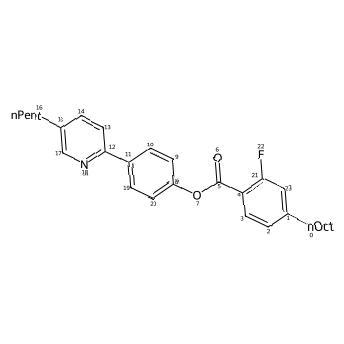 CCCCCCCCc1ccc(C(=O)Oc2ccc(-c3ccc(CCCCC)cn3)cc2)c(F)c1